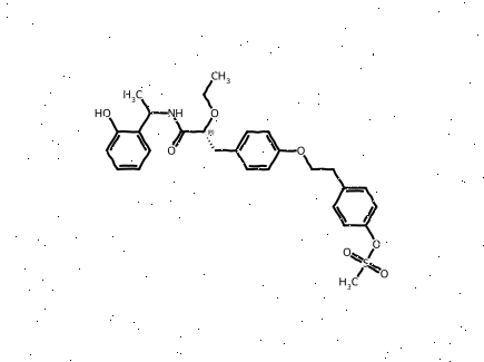 CCO[C@H](Cc1ccc(OCCc2ccc(OS(C)(=O)=O)cc2)cc1)C(=O)NC(C)c1ccccc1O